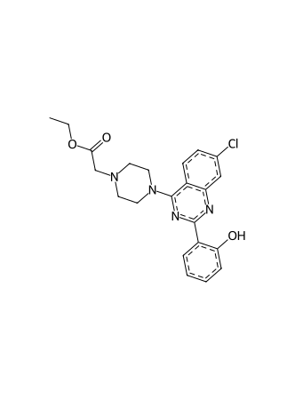 CCOC(=O)CN1CCN(c2nc(-c3ccccc3O)nc3cc(Cl)ccc23)CC1